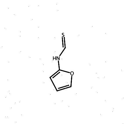 S=CNc1ccco1